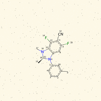 Cc1cccc(N2c3cc(F)c(C#N)c(F)c3N(C)[C@@H]2C)c1